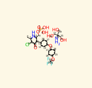 Cc1[nH]c(COP(=O)(O)O)c(-c2ccc(Oc3ccc(OC(F)(F)F)cc3)cc2)c(=O)c1Cl.NC(CO)(CO)CO